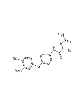 CC[C@@H](OC(N)=O)C(=O)Nc1ccc(Oc2ccc(C#N)c(OC)c2)cc1